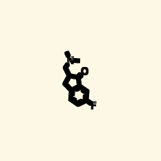 CN(C)CC1Cc2ccc(F)cc2C1=O